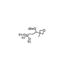 CCO[Si](CC)(CCC(OC)C1(C)COC1)OCC